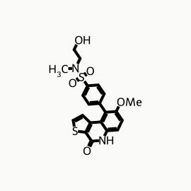 COc1ccc2[nH]c(=O)c3sccc3c2c1-c1ccc(S(=O)(=O)N(C)CCO)cc1